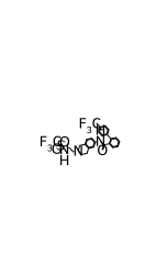 O=C(Nc1ccc2c(c1)CCN(CCNS(=O)(=O)C(F)(F)F)C2)c1ccccc1-c1ccc(C(F)(F)F)cc1